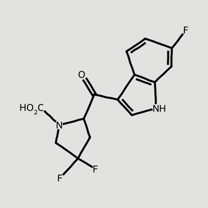 O=C(c1c[nH]c2cc(F)ccc12)C1CC(F)(F)CN1C(=O)O